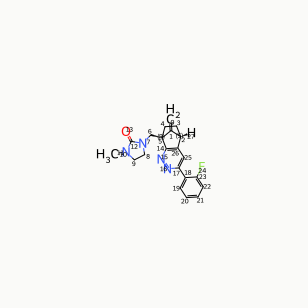 C=C1[C@@H]2CC[C@@]1(CN1CCN(C)C1=O)c1nnc(-c3ccccc3F)cc12